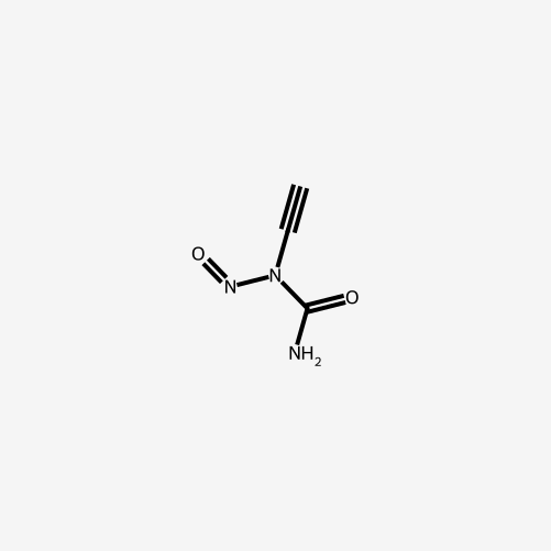 C#CN(N=O)C(N)=O